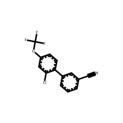 N#Cc1cccc(-c2[c]cc(OC(F)(F)F)cc2Cl)c1